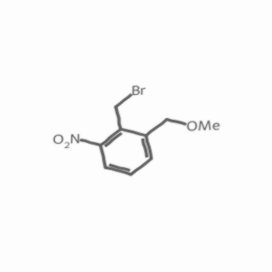 COCc1cccc([N+](=O)[O-])c1CBr